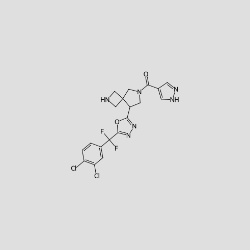 O=C(c1cn[nH]c1)N1CC(c2nnc(C(F)(F)c3ccc(Cl)c(Cl)c3)o2)C2(CNC2)C1